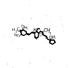 C=C1[C@H](O)CC(=C/C=C2\CCC[C@]3(C)[C@@H]([C@@H](C)CCCC4(O)CCCC4)CC[C@@H]23)C[C@H]1O